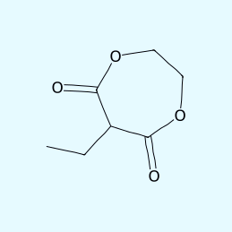 CCC1C(=O)OCCOC1=O